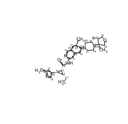 CC[C@H]1[C@@H](C(=O)Nc2cc3cc(N4CCN([C@@]5(C)COC[C@H]5F)CC4)c(C)cc3cn2)[C@@H]1c1cnn(C)c1